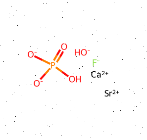 O=P([O-])([O-])O.[Ca+2].[F-].[OH-].[Sr+2]